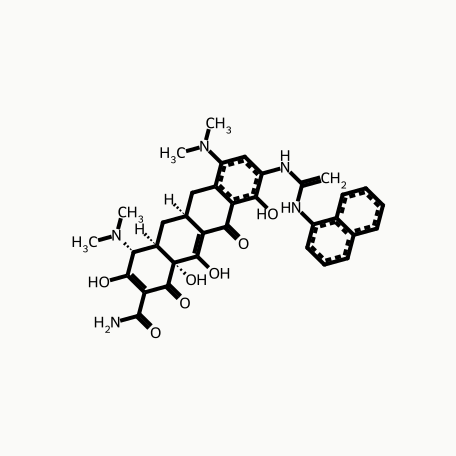 C=C(Nc1cc(N(C)C)c2c(c1O)C(=O)C1=C(O)[C@@]3(O)C(=O)C(C(N)=O)=C(O)[C@H](N(C)C)[C@H]3C[C@H]1C2)Nc1cccc2ccccc12